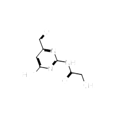 CCC(=O)Nc1nc(C)cc(C=O)n1